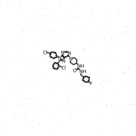 O=C(NCc1ccc(F)cc1)NC1CCN(c2ncnc3c2nc(-c2ccccc2Cl)n3-c2ccc(Cl)cc2)CC1